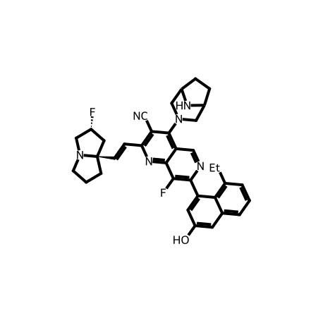 CCc1cccc2cc(O)cc(-c3ncc4c(N5CC6CCC(C5)N6)c(C#N)c(/C=C/[C@@]56CCCN5C[C@H](F)C6)nc4c3F)c12